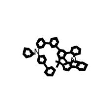 CC1(C)c2cc(-c3cccc(-c4cccc(N(c5ccccc5)c5ccc(-c6ccccc6)cc5)c4)c3)cc3c2-c2c1ccc1c4ccccc4n(c21)-c1ccccc1-3